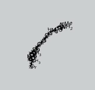 CN[C@@H](CSCC(=O)NCCOCCOCCOCCOCCC(=O)OC1CC[C@@]2(C)C(=CCC3[C@@H]4CC[C@H](CCCCC(C)C)[C@@]4(C)CC[C@@H]32)C1)C(N)=O